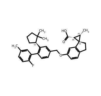 Cc1ccc(F)c(-c2ccc(COc3ccc4c(c3)[C@]3(CC4)[C@H](C(=O)O)[C@@H]3C)cc2[C@H]2CCCC2(C)C)c1